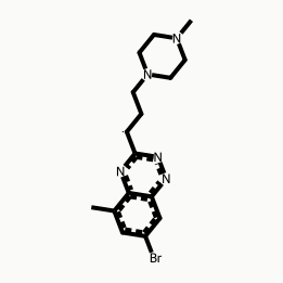 Cc1cc(Br)cc2nnc([CH]CCN3CCN(C)CC3)nc12